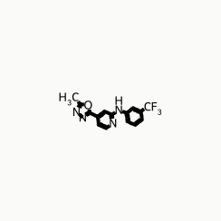 Cc1nnc(-c2ccnc(Nc3cccc(C(F)(F)F)c3)c2)o1